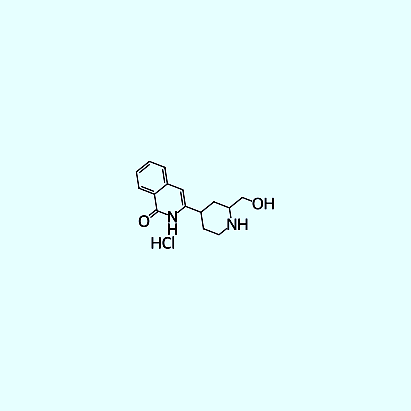 Cl.O=c1[nH]c(C2CCNC(CO)C2)cc2ccccc12